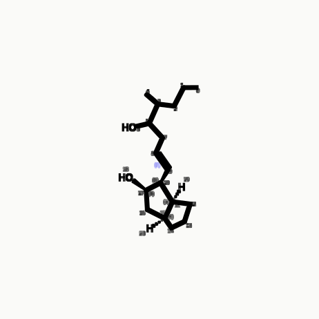 CCCC(C)C(O)C/C=C/[C@H]1[C@H]2CCC[C@H]2C[C@H]1O